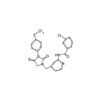 O=C(Nc1cc(CN2CC(=O)N(c3ccc(SC(F)(F)F)cc3)C2=O)ccn1)c1cccc(Cl)c1